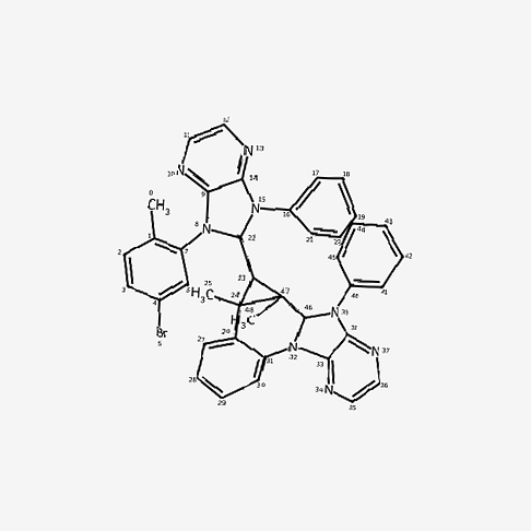 Cc1ccc(Br)cc1N1c2nccnc2N(c2ccccc2)C1C1C2(C)c3ccccc3N3c4nccnc4N(c4ccccc4)C3C12C